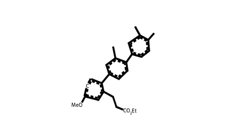 CCOC(=O)CCc1cc(OC)ccc1-c1ccc(-c2ccc(C)c(C)c2)c(C)c1